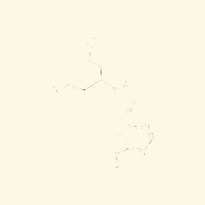 C[S+]([O-])CCC(CCC#N)n1cc(-c2ncnc3[nH]ccc23)cn1